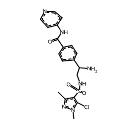 Cc1nn(C)c(Cl)c1S(=O)(=O)NCC(N)c1ccc(C(=O)Nc2ccncc2)cc1